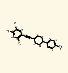 CCc1ccc(C2CCC(C#Cc3cc(F)c(F)nc3F)CC2)cc1